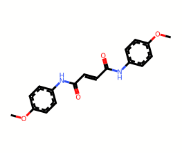 COc1ccc(NC(=O)C=CC(=O)Nc2ccc(OC)cc2)cc1